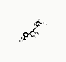 Cc1nc(OC/C(N)=C/N(N)c2cccc(C(C)(F)F)c2)ncc1F